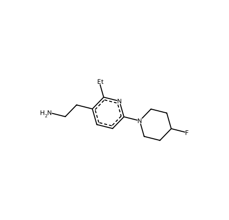 CCc1nc(N2CCC(F)CC2)ccc1CCN